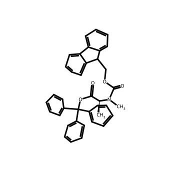 C[C@@H](C(=O)OC(c1ccccc1)(c1ccccc1)c1ccccc1)N(C)C(=O)OCC1c2ccccc2-c2ccccc21